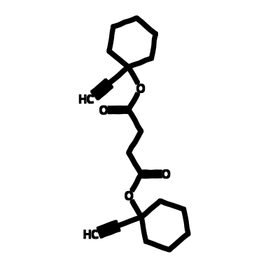 C#CC1(OC(=O)CCC(=O)OC2(C#C)CCCCC2)CCCCC1